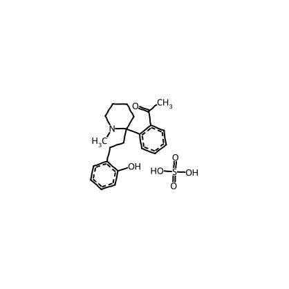 CC(=O)c1ccccc1C1(CCc2ccccc2O)CCCCN1C.O=S(=O)(O)O